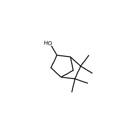 CC1(C)C2CC(O)C(C2)C1(C)C